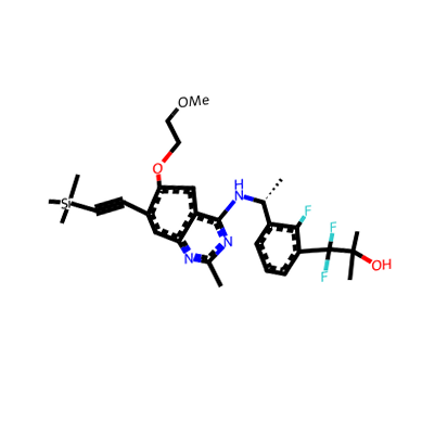 COCCOc1cc2c(N[C@H](C)c3cccc(C(F)(F)C(C)(C)O)c3F)nc(C)nc2cc1C#C[Si](C)(C)C